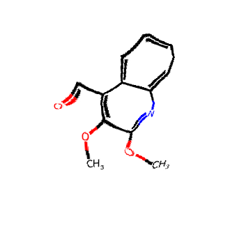 COc1nc2ccccc2c(C=O)c1OC